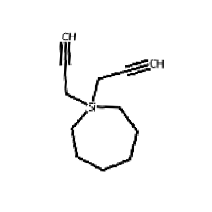 C#CC[Si]1(CC#C)CCCCCC1